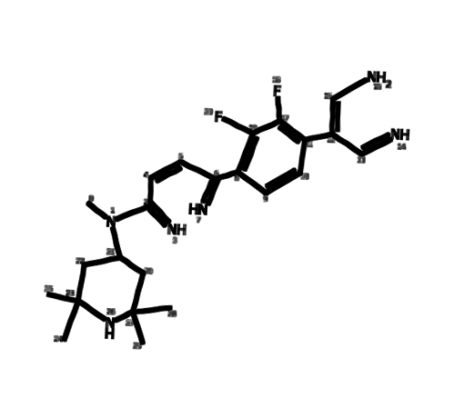 CN(C(=N)/C=C\C(=N)c1ccc(/C(C=N)=C/N)c(F)c1F)C1CC(C)(C)NC(C)(C)C1